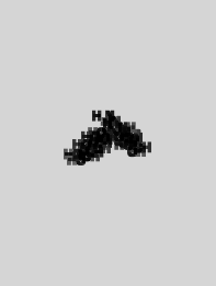 Nc1nc(N)nc(N)n1.O=P(O)(O)O.O=P(O)(O)O.O=P(O)(O)O.O=P(O)(O)O.O=P(O)(O)O